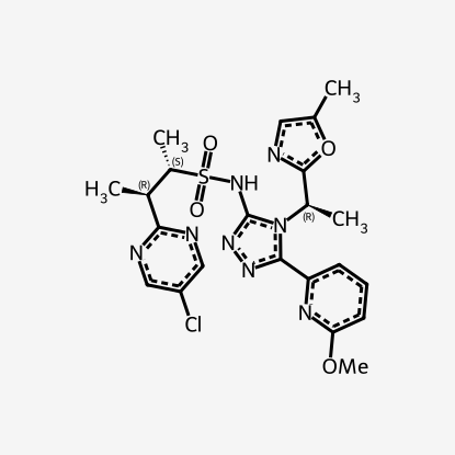 COc1cccc(-c2nnc(NS(=O)(=O)[C@@H](C)[C@H](C)c3ncc(Cl)cn3)n2[C@H](C)c2ncc(C)o2)n1